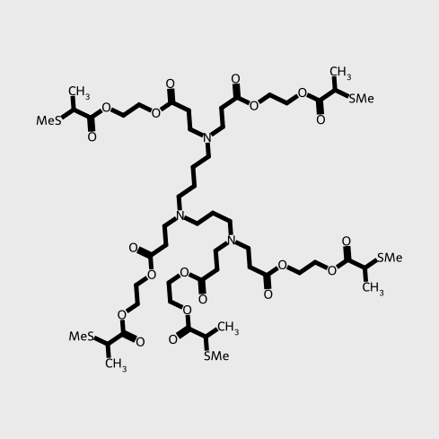 CSC(C)C(=O)OCCOC(=O)CCN(CCCCN(CCC(=O)OCCOC(=O)C(C)SC)CCC(=O)OCCOC(=O)C(C)SC)CCCN(CCC(=O)OCCOC(=O)C(C)SC)CCC(=O)OCCOC(=O)C(C)SC